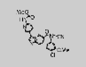 COC(=O)Nc1ccc(-c2cnc3ccc(C(=O)N(CC#N)c4ccc(Cl)c(OC)c4)cn23)cn1